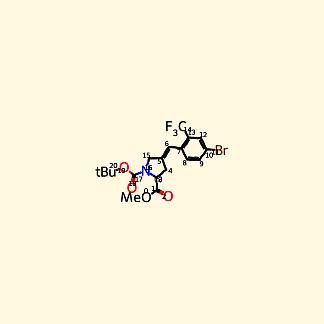 COC(=O)[C@@H]1CC(=Cc2ccc(Br)cc2C(F)(F)F)CN1C(=O)OC(C)(C)C